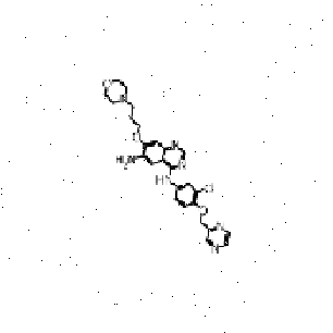 Nc1cc2c(Nc3ccc(OCc4cnccn4)c(Cl)c3)ncnc2cc1OCCCN1CCOCC1